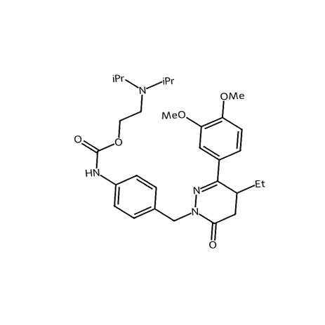 CCC1CC(=O)N(Cc2ccc(NC(=O)OCCN(C(C)C)C(C)C)cc2)N=C1c1ccc(OC)c(OC)c1